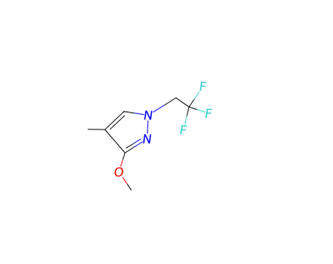 COc1nn(CC(F)(F)F)cc1C